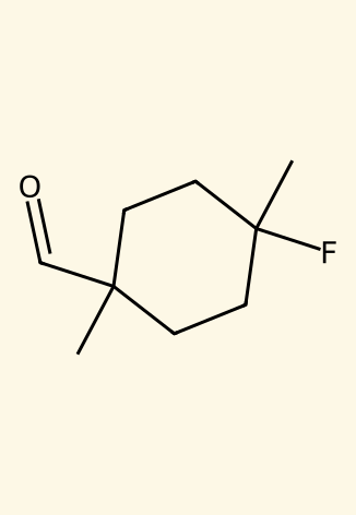 CC1(F)CCC(C)(C=O)CC1